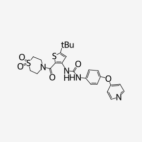 CC(C)(C)c1cc(NC(=O)Nc2ccc(Oc3ccncc3)cc2)c(C(=O)N2CCS(=O)(=O)CC2)s1